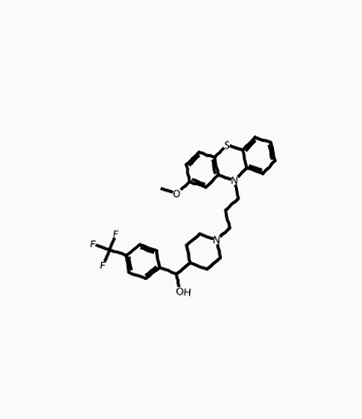 COc1ccc2c(c1)N(CCCN1CCC(C(O)c3ccc(C(F)(F)F)cc3)CC1)c1ccccc1S2